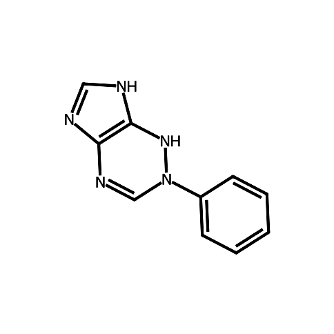 C1=Nc2nc[nH]c2NN1c1ccccc1